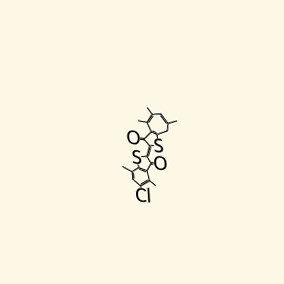 CC1=CC(C)=C(C)C2=C(C1)S/C(=C1/Sc3c(C)cc(Cl)c(C)c3C1=O)C2=O